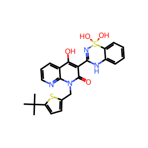 CC(C)(C)c1ccc(Cn2c(=O)c(C3=NS(O)(O)c4ccccc4N3)c(O)c3cccnc32)s1